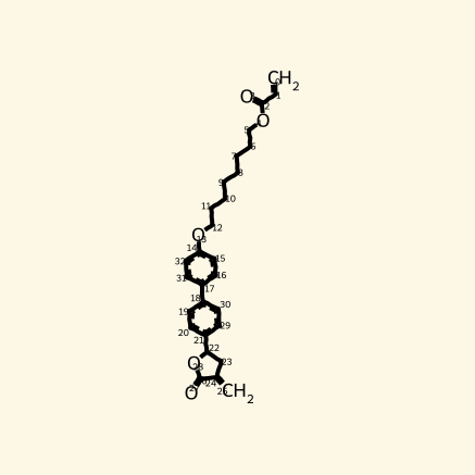 C=CC(=O)OCCCCCCCCOc1ccc(-c2ccc(C3CC(=C)C(=O)O3)cc2)cc1